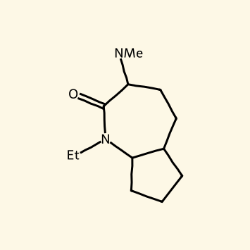 CCN1C(=O)C(NC)CCC2CCCC21